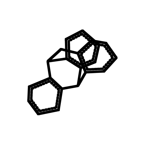 c1ccc2c(c1)CC1c3ccccc3C2c2ccccc21